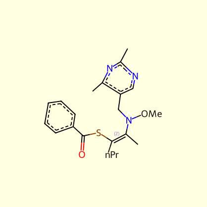 CCC/C(SC(=O)c1ccccc1)=C(\C)N(Cc1cnc(C)nc1C)OC